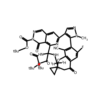 [2H]C([2H])([2H])NC(NC(=O)OC(C)(C)C)(C(=O)OC(C)(C)C)c1nc(-c2cnn(C)c2-c2c(F)cc3c(c2C#N)OC2(CC2)CC3=O)cc2cnn(C(=O)OC(C)(C)C)c(=O)c12